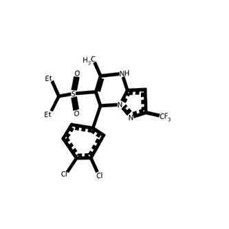 CCC(CC)S(=O)(=O)C1=C(C)Nc2cc(C(F)(F)F)nn2C1c1ccc(Cl)c(Cl)c1